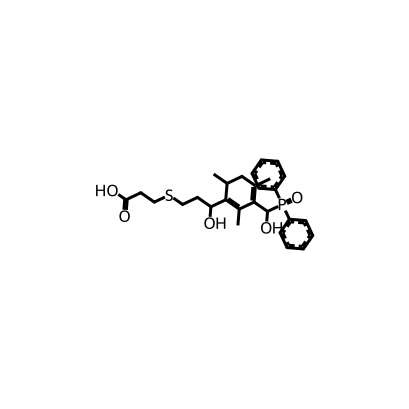 CC1=C(C(O)P(=O)(c2ccccc2)c2ccccc2)C(C)=C(C(O)CCSCCC(=O)O)C(C)C1